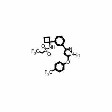 CCn1nc(-c2cccc(C3(NS(=O)(=O)CC(F)(F)F)CCC3)c2)cc1Oc1ccc(C(F)(F)F)cc1